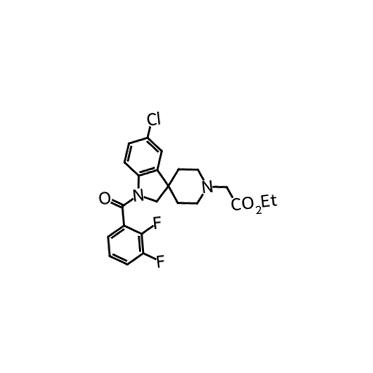 CCOC(=O)CN1CCC2(CC1)CN(C(=O)c1cccc(F)c1F)c1ccc(Cl)cc12